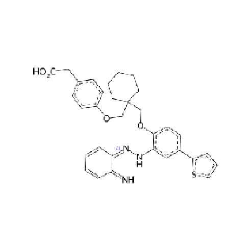 N=C1C=CC=C/C1=N/Nc1cc(-c2cccs2)ccc1OCC1(COc2ccc(CC(=O)O)cc2)CCCCC1